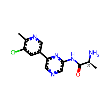 Cc1ncc(-c2cncc(NC(=O)[C@H](C)N)n2)cc1Cl